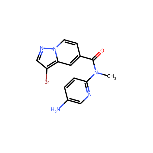 CN(C(=O)c1ccn2ncc(Br)c2c1)c1ccc(N)cn1